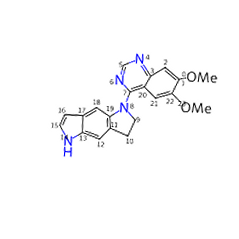 COc1cc2ncnc(N3CCc4cc5[nH]ccc5cc43)c2cc1OC